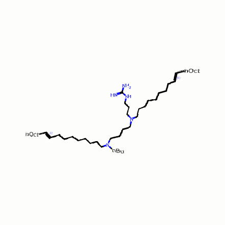 CCCCCCCC/C=C/CCCCCCCCN(CCCC)CCCCN(CCCCCCCC/C=C/CCCCCCCC)CCCNC(=N)N